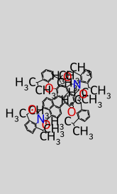 CC(C)c1cccc(C(C)C)c1Oc1cc2c3c(cc(Oc4c(C(C)C)cccc4C(C)C)c4c5ccc6c7c(ccc(c1c34)c75)C(=O)N(c1c(C(C)C)cccc1C(C)C)C6=O)C(=O)N(c1c(C(C)C)cccc1C(C)C)C2=O